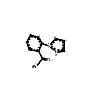 CC(C)C(=O)c1ccccc1-n1cccn1